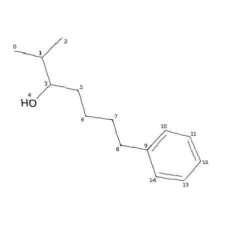 CC(C)C(O)CCCCc1ccccc1